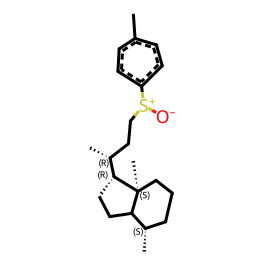 Cc1ccc([S+]([O-])CC[C@@H](C)[C@H]2CCC3[C@@H](C)CCC[C@@]32C)cc1